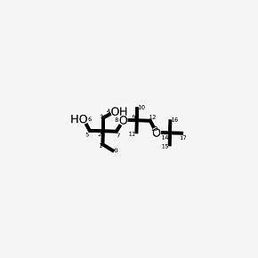 CCC(CO)(CO)COC(C)(C)COC(C)(C)C